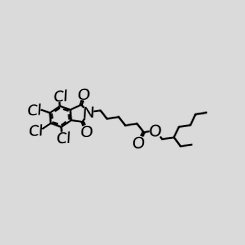 CCCCC(CC)COC(=O)CCCCCN1C(=O)c2c(Cl)c(Cl)c(Cl)c(Cl)c2C1=O